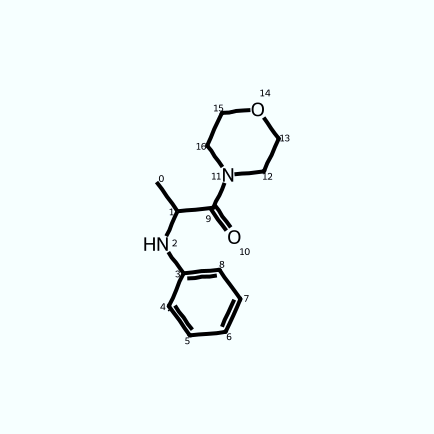 CC(Nc1[c]cccc1)C(=O)N1CCOCC1